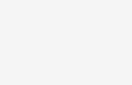 [CH2]c1ccc(CC)cc1OC